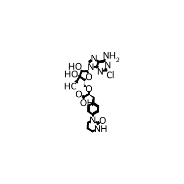 C#C[C@@]1(O)[C@@H](CO[C@@H](Cc2ccc(N3CCCNC3=O)cc2)C(=O)O)O[C@@H](n2cnc3c(N)nc(Cl)nc32)[C@@H]1O